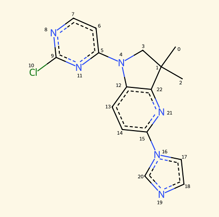 CC1(C)CN(c2ccnc(Cl)n2)c2ccc(-n3ccnc3)nc21